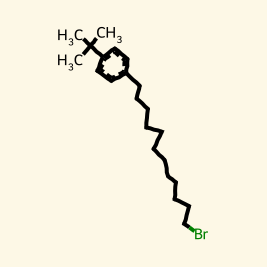 CC(C)(C)c1ccc(CCCCCCCCCCCCBr)cc1